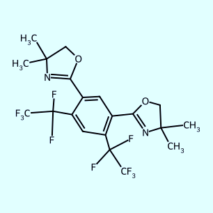 CC1(C)COC(c2cc(C3=NC(C)(C)CO3)c(C(F)(F)C(F)(F)F)cc2C(F)(F)C(F)(F)F)=N1